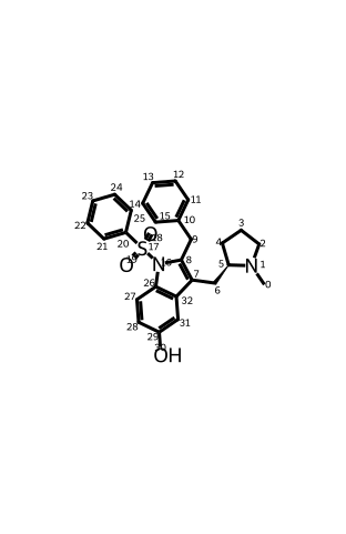 CN1CCC[C@@H]1Cc1c(Cc2ccccc2)n(S(=O)(=O)c2ccccc2)c2ccc(O)cc12